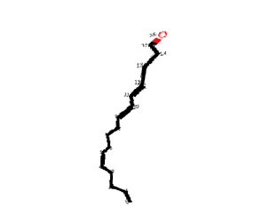 CCCC/C=C\CCC/C=C/C=C/CCC=O